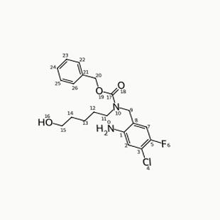 Nc1cc(Cl)c(F)cc1CN(CCCCCO)C(=O)OCc1ccccc1